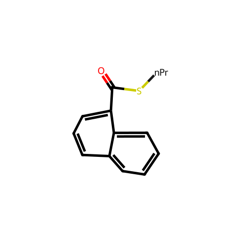 CCCSC(=O)c1cccc2ccccc12